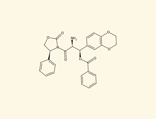 N[C@H](C(=O)N1C(=O)OC[C@@H]1c1ccccc1)[C@H](OC(=O)c1ccccc1)c1ccc2c(c1)OCCO2